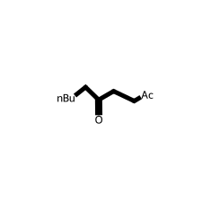 CCCCCC(=O)CCC(C)=O